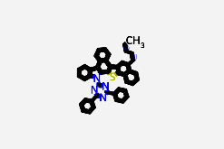 C/C=C\C=C/c1cc2c(sc3c2c2ccccc2c2c4ccccc4n(-c4nc(-c5ccccc5)nc(-c5ccccc5)n4)c32)c2ccccc12